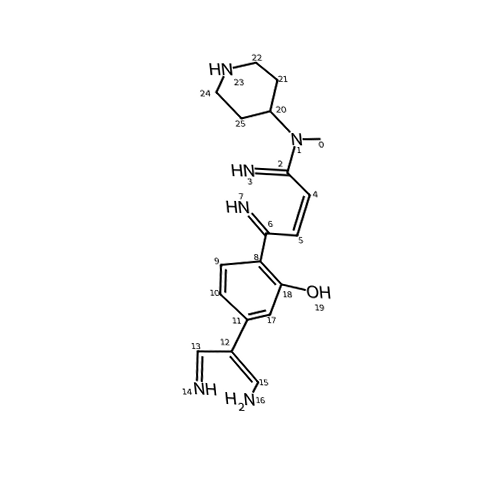 CN(C(=N)/C=C\C(=N)c1ccc(/C(C=N)=C/N)cc1O)C1CCNCC1